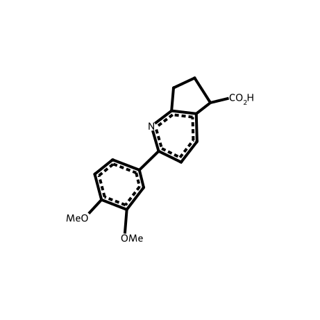 COc1ccc(-c2ccc3c(n2)CCC3C(=O)O)cc1OC